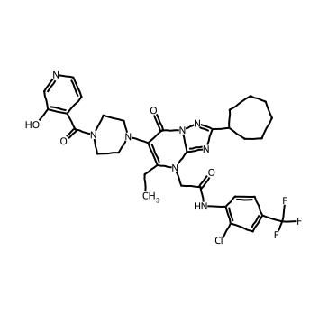 CCc1c(N2CCN(C(=O)c3ccncc3O)CC2)c(=O)n2nc(C3CCCCCC3)nc2n1CC(=O)Nc1ccc(C(F)(F)F)cc1Cl